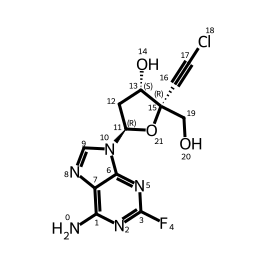 Nc1nc(F)nc2c1ncn2[C@H]1C[C@H](O)[C@@](C#CCl)(CO)O1